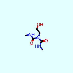 CNC(=O)N(CCO)C(=O)NC